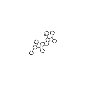 c1ccc(-c2cccc(-n3c4ccccc4c4c5c(cc(-c6ccccn6)c43)-c3cc(-c4ccccn4)c4c(c3CC5)c3ccccc3n4-c3ccccc3)c2)cc1